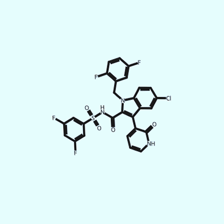 O=C(NS(=O)(=O)c1cc(F)cc(F)c1)c1c(-c2ccc[nH]c2=O)c2cc(Cl)ccc2n1Cc1cc(F)ccc1F